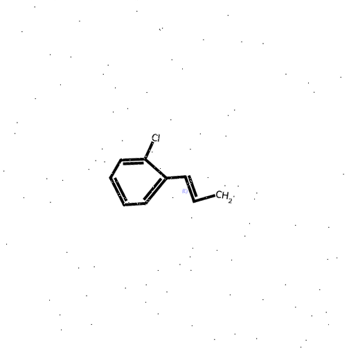 [CH2]/C=C/c1ccccc1Cl